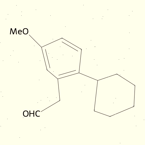 COc1ccc(C2CCCCC2)c(CC=O)c1